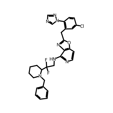 FC(F)(CNc1nccc2oc(Cc3cc(Cl)ccc3-n3cncn3)nc12)C1CCCCN1Cc1ccccc1